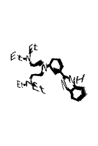 CCN(CC)CCN(CCN(CC)CC)c1cccc(-c2nc3ccccc3[nH]2)c1